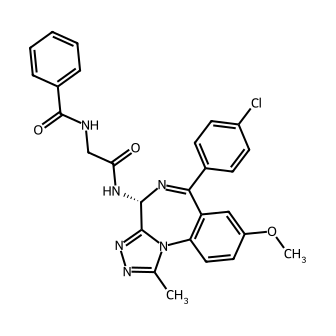 COc1ccc2c(c1)C(c1ccc(Cl)cc1)=N[C@@H](NC(=O)CNC(=O)c1ccccc1)c1nnc(C)n1-2